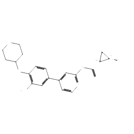 CCOC(=O)[C@@H]1C[C@H]1C(=O)Nc1cc(-c2ccc(OC3CCOCC3)c(C#N)c2)ccn1